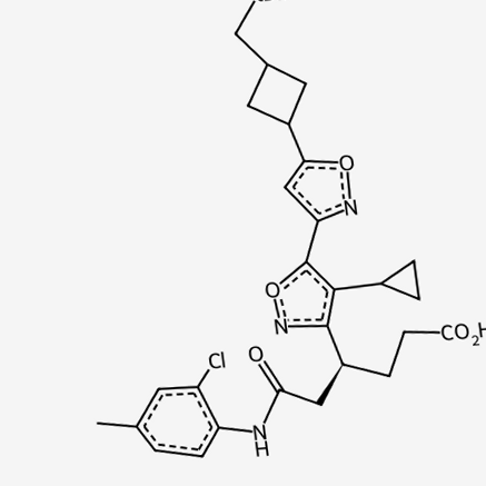 Cc1ccc(NC(=O)C[C@H](CCC(=O)O)c2noc(-c3cc(C4CC(CC(C)(C)C)C4)on3)c2C2CC2)c(Cl)c1